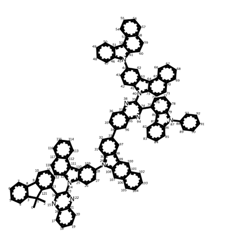 CC1(C)c2ccccc2-c2cccc(-c3nc4ccccc4nc3-n3c4ccc(-n5c6ccc(-c7ccc8nc(-n9c%10ccc(-n%11c%12ccccc%12c%12c%13ccccc%13ccc%12%11)cc%10c%10c%11ccccc%11ccc%109)c(-c9cccc%10c9c9ccccc9n%10-c9ccccc9)nc8c7)cc6c6cc7ccccc7cc65)cc4c4c5ccccc5ccc43)c21